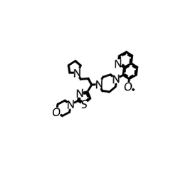 COc1ccc2cccnc2c1N1CCCN(C(CCN2CCCC2)c2csc(N3CCOCC3)n2)CC1